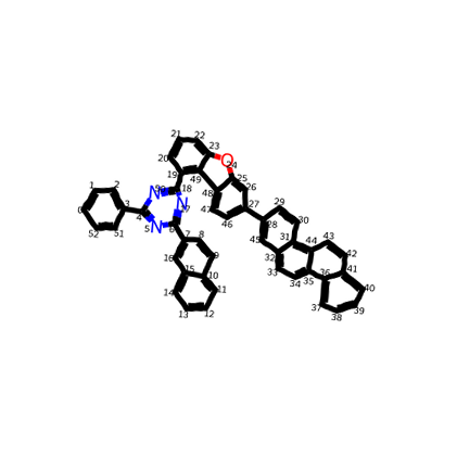 c1ccc(-c2nc(-c3ccc4ccccc4c3)nc(-c3cccc4oc5cc(-c6ccc7c(ccc8c9ccccc9ccc78)c6)ccc5c34)n2)cc1